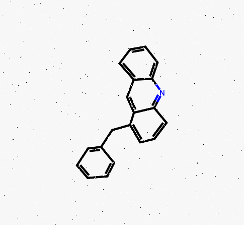 c1ccc(Cc2cccc3nc4ccccc4cc23)cc1